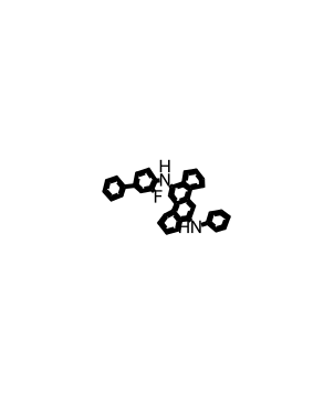 Fc1cc(-c2ccccc2)ccc1Nc1cc2c3ccccc3c(Nc3ccccc3)cc2c2ccccc12